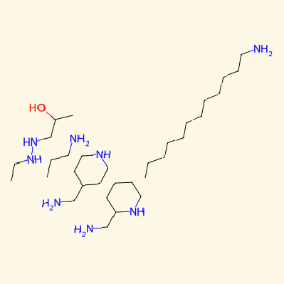 CCCCCCCCCCCCN.CCCN.CCNNCC(C)O.NCC1CCCCN1.NCC1CCNCC1